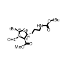 COC(=O)[C@@H]1[C@@H](CCCNC(=O)OC(C)(C)C)[Se][C@H](C(C)(C)C)N1C=O